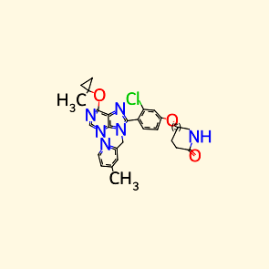 Cc1ccnc(Cn2c(-c3ccc(O[C@H]4CCC(=O)NC4)cc3Cl)nc3c(OC4(C)CC4)ncnc32)c1